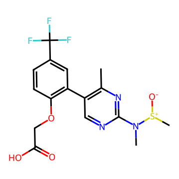 Cc1nc(N(C)[S+](C)[O-])ncc1-c1cc(C(F)(F)F)ccc1OCC(=O)O